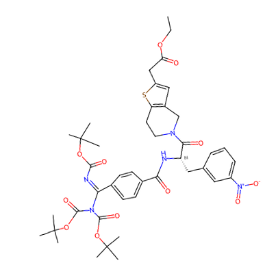 CCOC(=O)Cc1cc2c(s1)CCN(C(=O)[C@H](Cc1cccc([N+](=O)[O-])c1)NC(=O)c1ccc(C(=NC(=O)OC(C)(C)C)N(C(=O)OC(C)(C)C)C(=O)OC(C)(C)C)cc1)C2